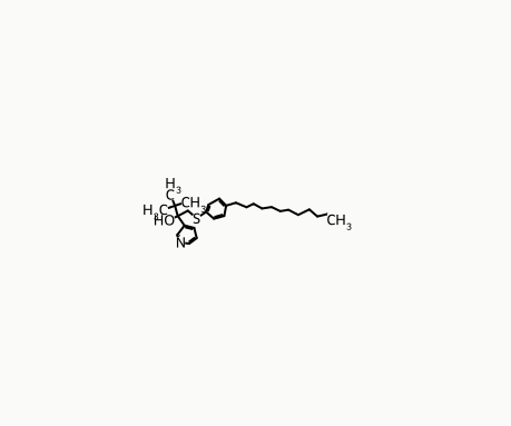 CCCCCCCCCCCCc1ccc(SCC(O)(c2cccnc2)C(C)(C)C)cc1